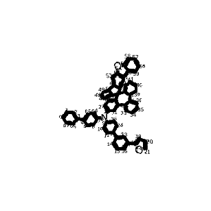 c1ccc(-c2ccc(N(c3ccc(-c4cccc(-c5ccco5)c4)cc3)c3ccc4c(c3)-c3ccccc3-c3ccccc3C43c4ccccc4-c4cc5oc6ccccc6c5cc43)cc2)cc1